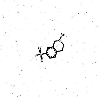 CC(=O)N1CCc2ccc(S(C)(=O)=O)cc2C1